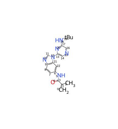 C=C(C)C(=O)Nc1ccc2ncn(-c3cncc(NC(C)(C)C)n3)c2c1